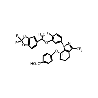 CC(Oc1cc(-n2nc(C(F)(F)F)c3c2[C@@H](Oc2ccc(C(=O)O)cc2)CCC3)ccc1F)c1ccc2c(c1)OC(F)(F)O2